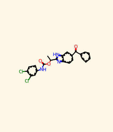 CC(OC(=O)Nc1ccc(Cl)c(Cl)c1)c1nc2ccc(C(=O)c3ccccc3)cc2[nH]1